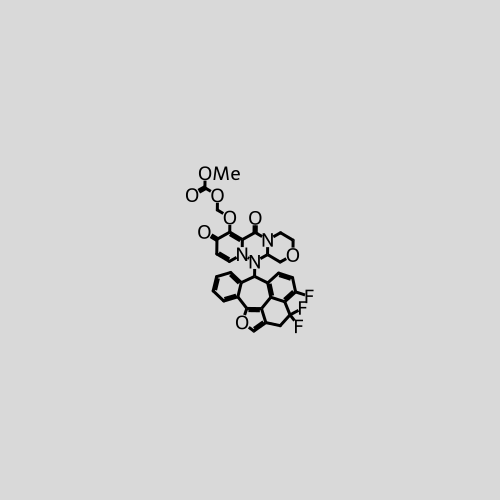 COC(=O)OCOc1c2n(ccc1=O)N(C1c3ccccc3-c3occ4c3-c3c1ccc(F)c3C(F)(F)C4)C1COCCN1C2=O